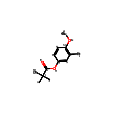 CCc1cc(OC(=O)C(C)(C)CC)ccc1OC(C)(C)C